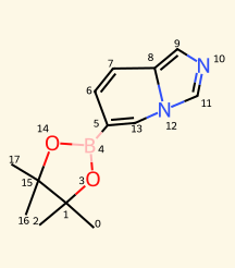 CC1(C)OB(c2ccc3cncn3c2)OC1(C)C